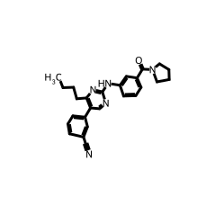 CCCCc1nc(Nc2cccc(C(=O)N3CCCC3)c2)ncc1-c1cccc(C#N)c1